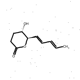 C/C=C/C=C/[C@H]1OC(=O)CC[C@@H]1O